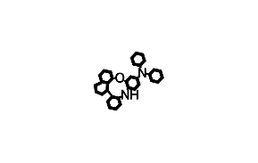 c1ccc(N(c2ccccc2)c2ccc3c(c2)Oc2cccc4cccc(c24)-c2ccccc2N3)cc1